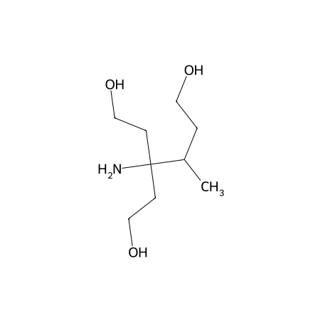 CC(CCO)C(N)(CCO)CCO